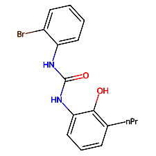 CCCc1cccc(NC(=O)Nc2ccccc2Br)c1O